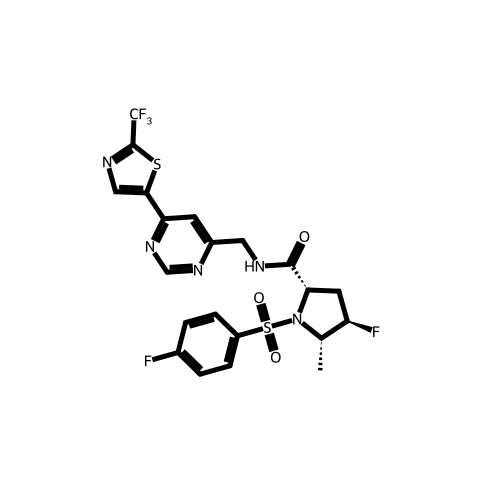 C[C@H]1[C@H](F)C[C@@H](C(=O)NCc2cc(-c3cnc(C(F)(F)F)s3)ncn2)N1S(=O)(=O)c1ccc(F)cc1